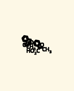 Cc1oc2ccc(OCc3ccccc3S(C)(=O)=O)cc2c1C(=O)O